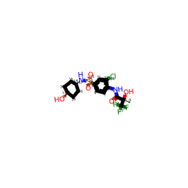 C[C@@](O)(C(=O)Nc1ccc(S(=O)(=O)N[C@H]2CC[C@H](O)CC2)cc1Cl)C(F)(F)F